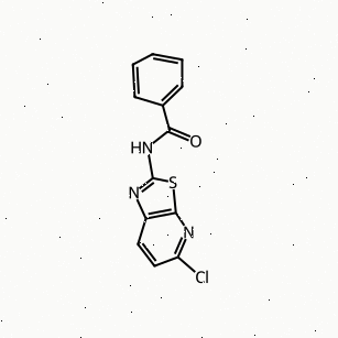 O=C(Nc1nc2ccc(Cl)nc2s1)c1ccccc1